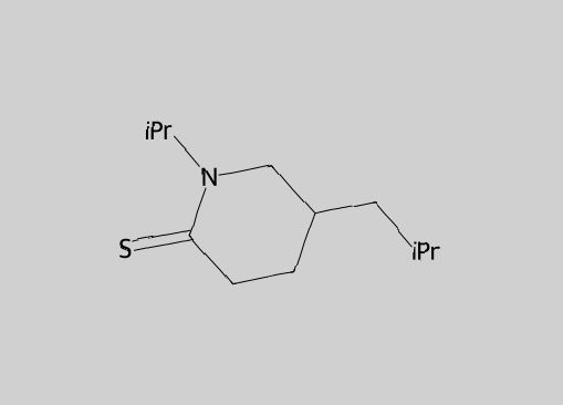 CC(C)CC1CCC(=S)N(C(C)C)C1